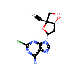 C#C[C@]1(CO)O[C@@H](n2cnc3c(N)nc(Cl)nc32)C[C@H]1O